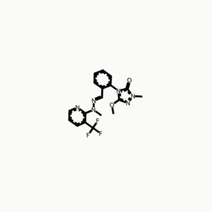 COc1nn(C)c(=O)n1-c1ccccc1/C=N/N(C)c1ncccc1C(F)(F)F